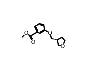 COC(=O)c1cccc(OC[C@H]2CCOC2)c1